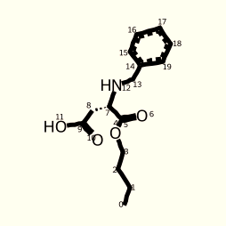 CCCCOC(=O)[C@H](CC(=O)O)NCc1ccccc1